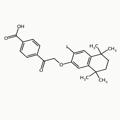 CC1(C)CCC(C)(C)c2cc(OCC(=O)c3ccc(C(=O)O)cc3)c(I)cc21